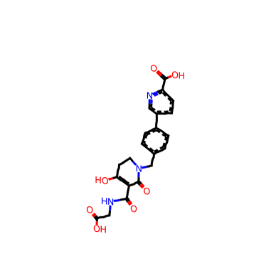 O=C(O)CNC(=O)C1=C(O)CCN(Cc2ccc(-c3ccc(C(=O)O)nc3)cc2)C1=O